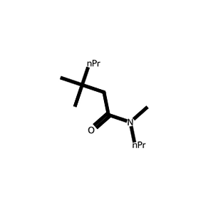 CCCN(C)C(=O)CC(C)(C)CCC